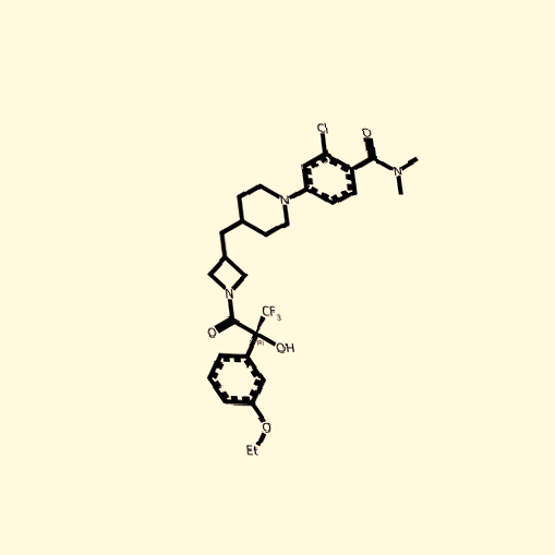 CCOc1cccc([C@@](O)(C(=O)N2CC(CC3CCN(c4ccc(C(=O)N(C)C)c(Cl)c4)CC3)C2)C(F)(F)F)c1